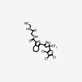 N#CCNC(=O)CNC(=O)c1sc(C2=NOC(c3sc(Cl)c(Cl)c3Cl)(C(F)(F)F)C2)c2c1CCCC2